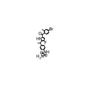 Cc1cc(Br)ccc1C(=O)c1cc(F)c(C(C)c2ccc(NS(N)(=O)=O)cc2)[nH]1